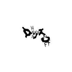 Cc1cc(C)cc(Nc2nccc(-n3cc(C)c(CN4CCC(F)(F)CC4)c3)n2)c1